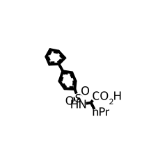 CCCC(NS(=O)(=O)c1ccc(-c2ccccc2)cc1)C(=O)O